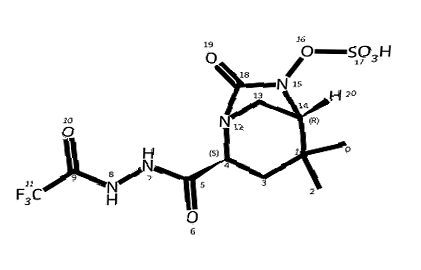 CC1(C)C[C@@H](C(=O)NNC(=O)C(F)(F)F)N2C[C@@H]1N(OS(=O)(=O)O)C2=O